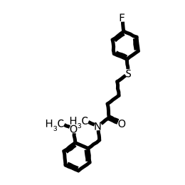 COc1ccccc1CN(C)C(=O)CCCSc1ccc(F)cc1